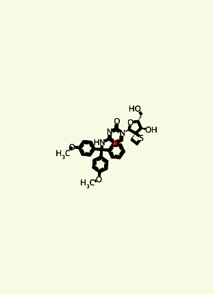 COc1ccc(C(Nc2ccn([C@@H]3O[C@H](CO)[C@@H](O)[C@]34CCS4)c(=O)n2)(c2ccccc2)c2ccc(OC)cc2)cc1